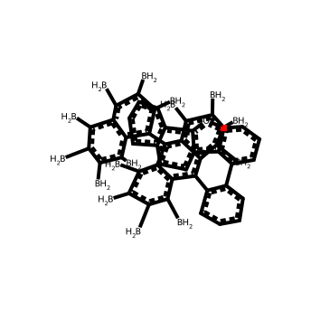 Bc1c(B)c(B)c2c(-c3c4c(B)c(B)c(B)c(B)c4c(-c4ccccc4-c4cccc5oc6c7ccccc7ccc6c45)c4c(B)c(B)c(B)c(B)c34)c(B)c(B)c(B)c2c1B